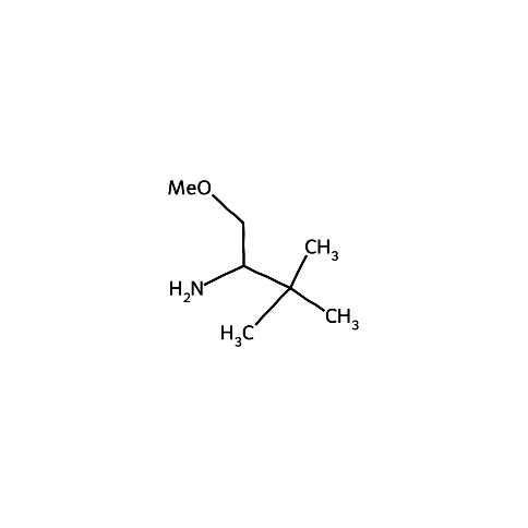 COCC(N)C(C)(C)C